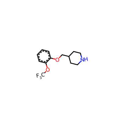 FC(F)(F)Oc1ccccc1OCC1CCNCC1